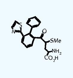 CSC(CC(N)C(=O)O)C(=O)c1cccc(-c2nccs2)c1-c1ccccc1